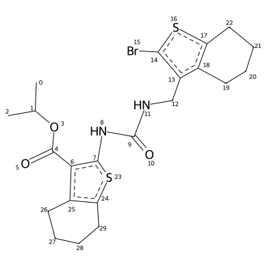 CC(C)OC(=O)c1c(NC(=O)NCc2c(Br)sc3c2CCCC3)sc2c1CCCC2